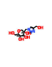 OCc1cn(C[C@@]2(O)CO[C@H](CO)[C@@H](O)[C@@H]2O)nn1